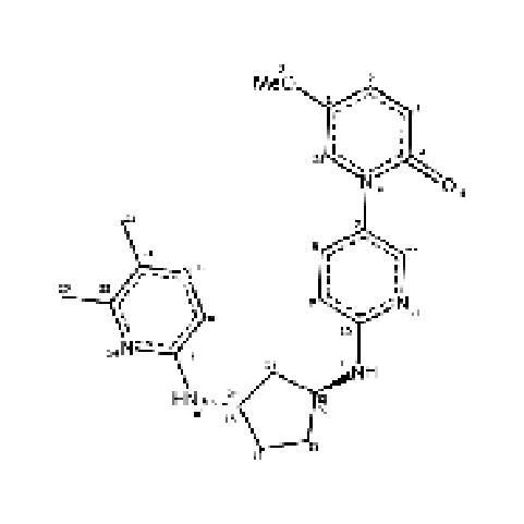 COc1ccc(=O)n(-c2ccc(N[C@H]3CC[C@H](Nc4cnc(C)c(C)n4)C3)nc2)c1